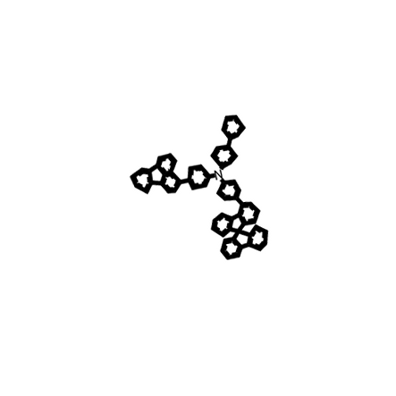 c1ccc(-c2ccc(N(c3ccc(-c4cccc5c4-c4ccccc4C54c5ccccc5-c5ccccc54)cc3)c3ccc(-c4ccc5c6c(cccc46)-c4ccccc4-5)cc3)cc2)cc1